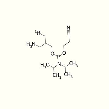 [3H]CC(CN)COP(OCCC#N)N(C(C)C)C(C)C